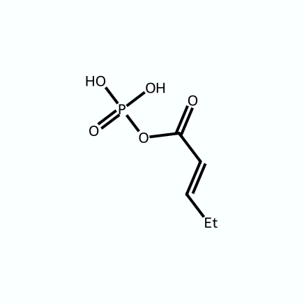 CCC=CC(=O)OP(=O)(O)O